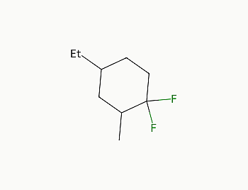 CCC1CCC(F)(F)C(C)C1